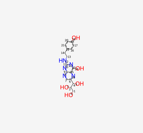 OCC(O)C(O)c1cnc2nc(NCCc3ccc(O)cc3)nc(O)c2n1